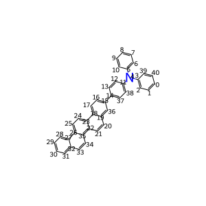 c1ccc(N(c2ccccc2)c2ccc(-c3ccc4c(ccc5c4ccc4c6ccccc6ccc45)c3)cc2)cc1